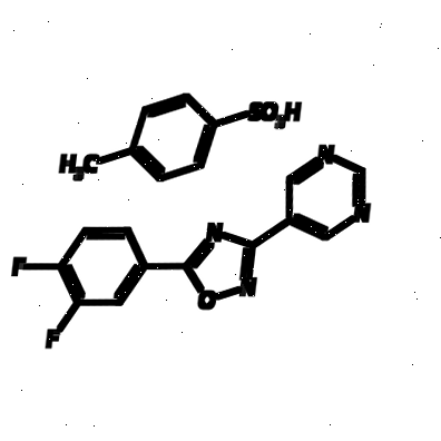 Cc1ccc(S(=O)(=O)O)cc1.Fc1ccc(-c2nc(-c3cncnc3)no2)cc1F